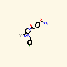 NC(=O)[C@H]1CC[C@H](CC(=O)N2CCc3c(C(F)(F)F)nn(Cc4ccc(F)cc4)c3C2)CC1